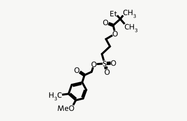 CCC(C)(C)C(=O)OCCCS(=O)(=O)OCC(=O)c1ccc(OC)c(C)c1